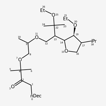 CCCCCCCCCCCC(=O)C(C)(C)OCC(C)OCC(C1OCC(C(C)C)[C@@H]1OCC)C(C)(C)OCC